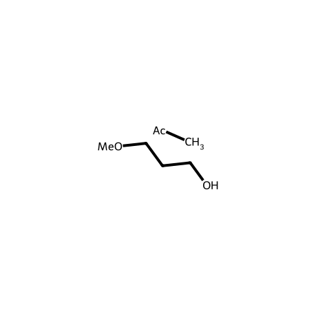 CC(C)=O.COCCCO